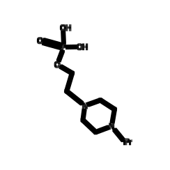 CC(C)N1CCN(CCOP(=O)(O)O)CC1